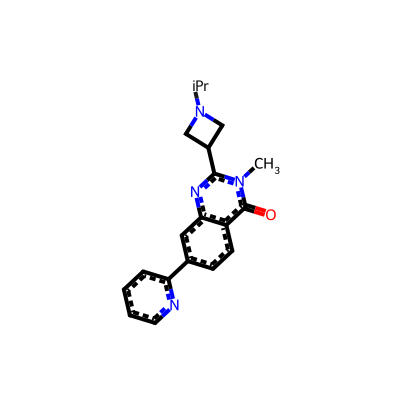 CC(C)N1CC(c2nc3cc(-c4ccccn4)ccc3c(=O)n2C)C1